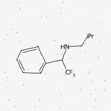 CC(C)CNC(c1ccccc1)C(F)(F)F